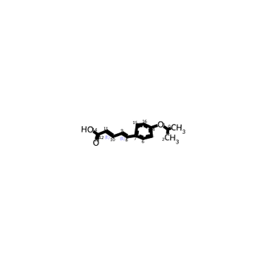 CC(C)Oc1ccc(/C=C/C=C/C(=O)O)cc1